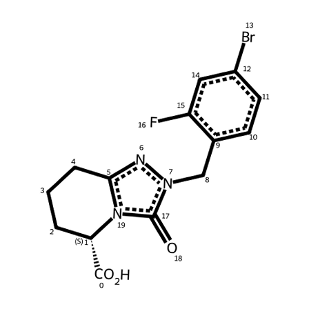 O=C(O)[C@@H]1CCCc2nn(Cc3ccc(Br)cc3F)c(=O)n21